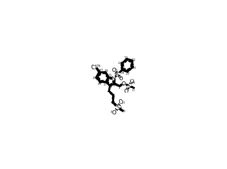 CS(=O)(=O)CCCc1c(COS(C)(=O)=O)n(S(=O)(=O)c2ccccc2)c2cc(Cl)ccc12